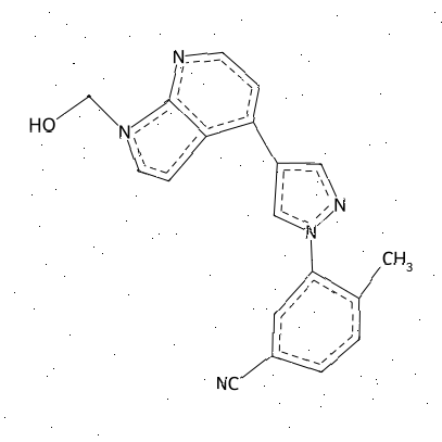 Cc1ccc(C#N)cc1-n1cc(-c2ccnc3c2ccn3CO)cn1